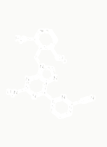 Cc1cccc(C)c1Cn1cnc2c(-c3cccc(C#N)n3)nc(N)nc21